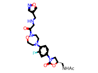 CC(=O)NC[C@H]1CN(c2ccc(N3CCON(C(=O)CNCc4cnoc4)CC3)c(F)c2)C(=O)O1